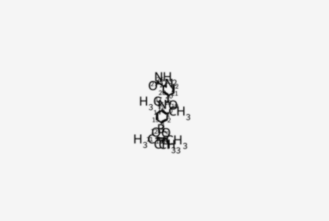 Cc1cc(B2OC(C)(C)C(C)(C)O2)ccc1N(C)C(=O)c1ccnc(C(N)=O)c1